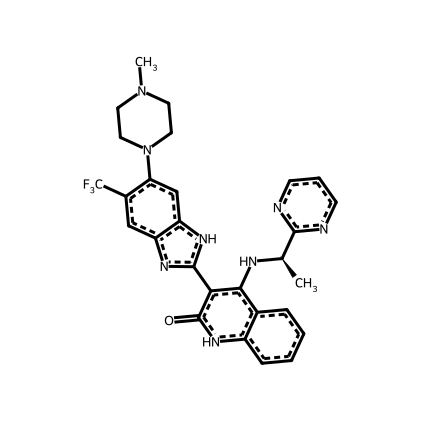 C[C@@H](Nc1c(-c2nc3cc(C(F)(F)F)c(N4CCN(C)CC4)cc3[nH]2)c(=O)[nH]c2ccccc12)c1ncccn1